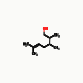 CC(C)=CCC(C)C(C)CO